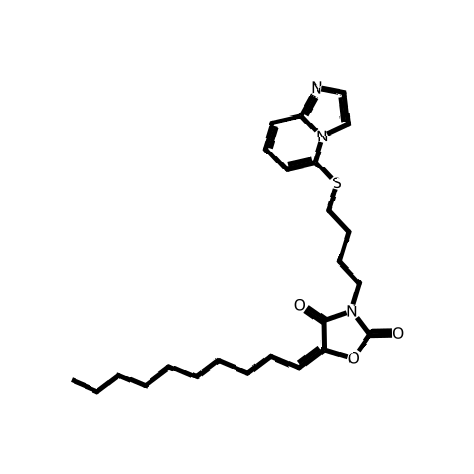 CCCCCCCCCC=C1OC(=O)N(CCCCSc2cccc3nccn23)C1=O